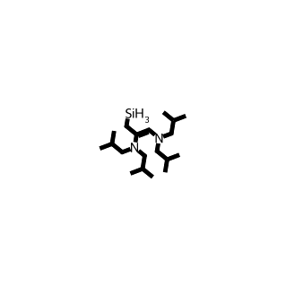 CC(C)CN(C=C(C[SiH3])N(CC(C)C)CC(C)C)CC(C)C